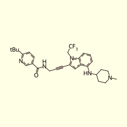 CN1CCC(Nc2cccc3c2cc(C#CCNC(=O)c2ccc(C(C)(C)C)nc2)n3CC(F)(F)F)CC1